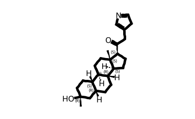 C[C@@]1(O)CC[C@H]2[C@H](CC[C@@H]3[C@@H]2CC[C@]2(C)[C@@H](C(=O)CC4=CN=CC4)CC[C@@H]32)C1